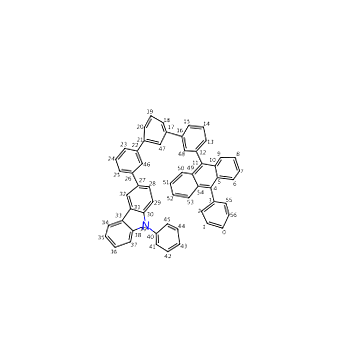 c1ccc(-c2c3ccccc3c(-c3cccc(-c4cccc(-c5cccc(-c6ccc7c(c6)c6ccccc6n7-c6ccccc6)c5)c4)c3)c3ccccc23)cc1